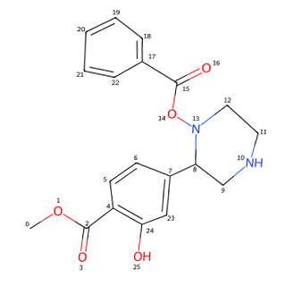 COC(=O)c1ccc(C2CNCCN2OC(=O)c2ccccc2)cc1O